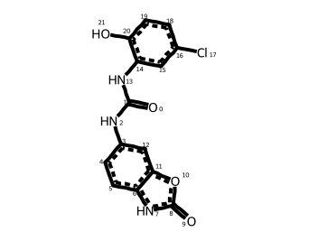 O=C(Nc1ccc2[nH]c(=O)oc2c1)Nc1cc(Cl)ccc1O